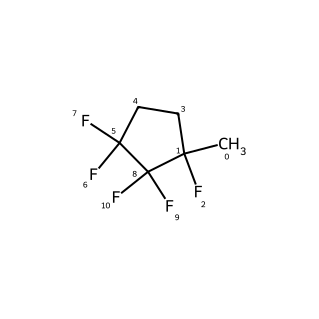 CC1(F)CCC(F)(F)C1(F)F